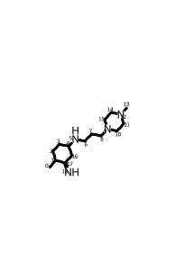 CC1CCC(NCCCN2CCN(C)CC2)CC1=N